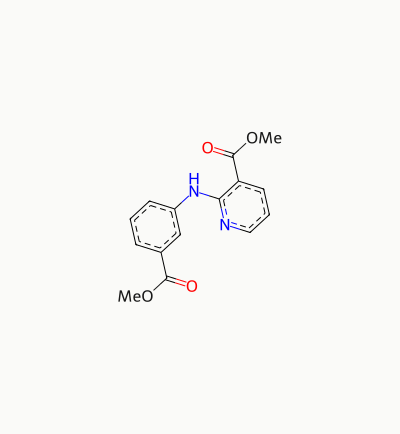 COC(=O)c1cccc(Nc2ncccc2C(=O)OC)c1